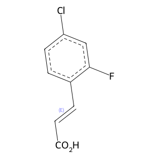 O=C(O)/C=C/c1ccc(Cl)cc1F